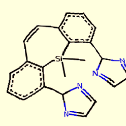 C[Si]1(C)c2c(cccc2C2N=CC=N2)C=Cc2cccc(C3N=CC=N3)c21